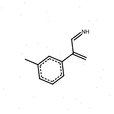 C=C(C=N)c1cccc(C)c1